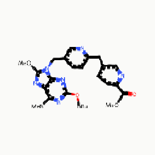 CCCCOc1nc(NC)c2nc(OC)n(Cc3ccc(Cc4ccc(C(=O)OC)nc4)nc3)c2n1